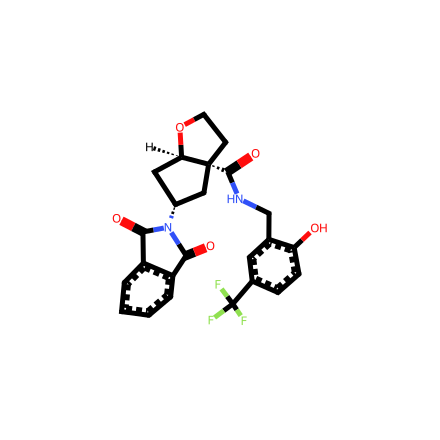 O=C1c2ccccc2C(=O)N1[C@@H]1C[C@H]2OCC[C@@]2(C(=O)NCc2cc(C(F)(F)F)ccc2O)C1